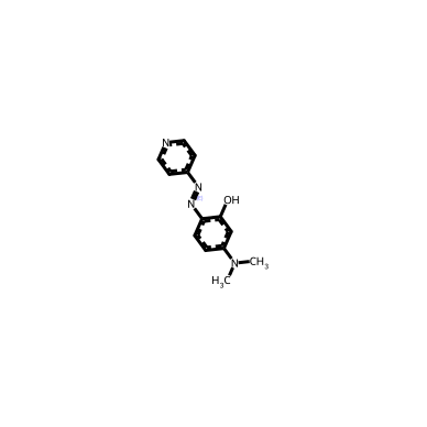 CN(C)c1ccc(/N=N/c2ccncc2)c(O)c1